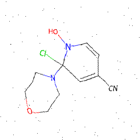 N#CC1=CC(Cl)(N2CCOCC2)N(O)C=C1